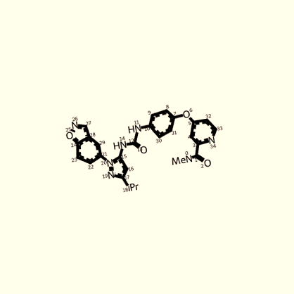 CNC(=O)c1cc(Oc2ccc(NC(=O)Nc3cc(C(C)C)nn3-c3ccc4oncc4c3)cc2)ccn1